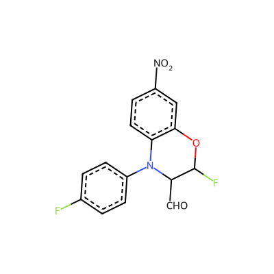 O=CC1C(F)Oc2cc([N+](=O)[O-])ccc2N1c1ccc(F)cc1